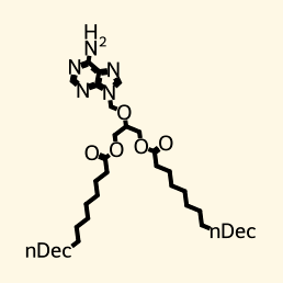 CCCCCCCCCCCCCCCCCC(=O)OCC(COC(=O)CCCCCCCCCCCCCCCCC)OCn1cnc2c(N)ncnc21